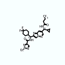 CCn1ncc(C(=O)N[C@H](c2cn3ncc([C@H](NC(=O)CCC(F)(F)F)C4CC4)cc3n2)C2CCC(F)(F)CC2)n1